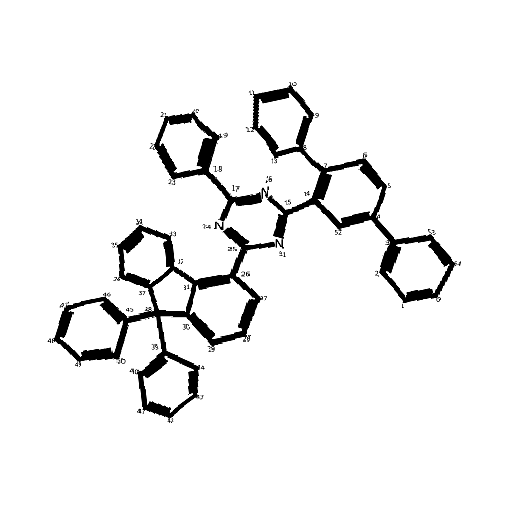 c1ccc(-c2ccc(-c3ccccc3)c(-c3nc(-c4ccccc4)nc(-c4cccc5c4-c4ccccc4C5(c4ccccc4)c4ccccc4)n3)c2)cc1